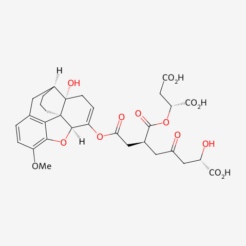 COc1ccc2c3c1O[C@@H]1C(OC(=O)C[C@H](CC(=O)C[C@H](O)C(=O)O)C(=O)O[C@H](CC(=O)O)C(=O)O)=CC[C@]4(O)[C@@H](CCC[C@@]314)C2